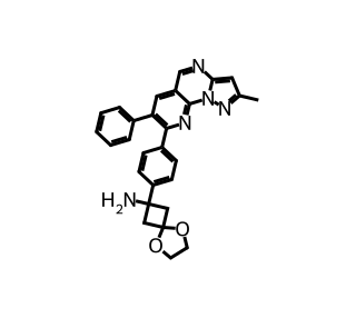 Cc1cc2ncc3cc(-c4ccccc4)c(-c4ccc(C5(N)CC6(C5)OCCO6)cc4)nc3n2n1